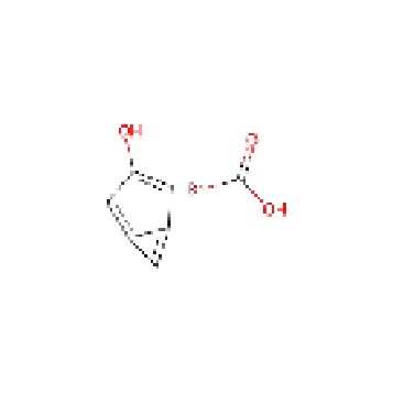 O=C(O)Br.Oc1cc2cc-2c1